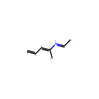 C=C/C=C(C)/N=C/C